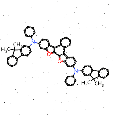 CC1(C)c2ccccc2-c2ccc(N(c3ccccc3)c3ccc4c(c3)oc3c5oc6cc(N(c7ccccc7)c7ccc8c(c7)C(C)(C)c7ccccc7-8)ccc6c5c5ccccc5c43)cc21